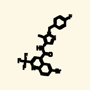 Cc1c(NC(=O)c2cc(C(F)(F)F)nc3ccc(Br)cc23)cnn1Cc1ccc(F)cc1